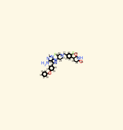 Nc1ncnc2c1c(-c1ccc(Oc3ccccc3)cc1)nn2[C@H]1CCN(Cc2ccc(C3CCC(=O)NC3=O)c(F)c2)C[C@H]1F